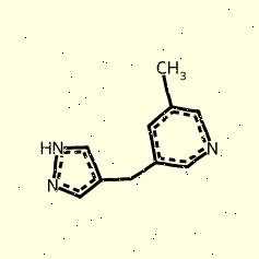 Cc1cncc(Cc2cn[nH]c2)c1